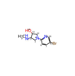 CNC1CN(c2ccc(Br)cn2)CC1O